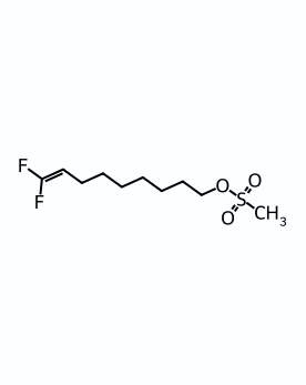 CS(=O)(=O)OCCCCCCCC=C(F)F